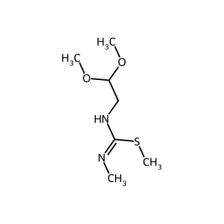 C/N=C(/NCC(OC)OC)SC